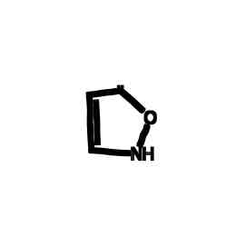 [C]1C=CNO1